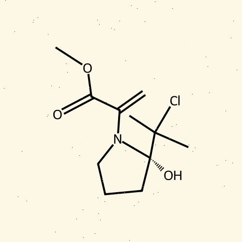 C=C(C(=O)OC)N1CCC[C@]1(O)C(C)(C)Cl